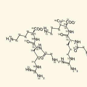 N=C(N)NCCC[C@H](NC(=O)CN)C(=O)N[C@@H](CCCCN)C(=O)[O-].N=C(N)NCCC[C@H](NC(=O)CN)C(=O)N[C@@H](CCCCN)C(=O)[O-].[Cu+2]